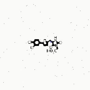 O=C(O)CN1C(=O)N/C(=C/c2ccc(-c3ccc(Cl)c(Cl)c3)o2)C1=O